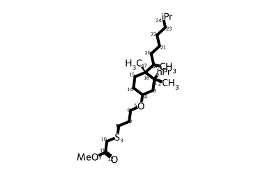 CCCC1(C)CC(OCCCSCC(=O)OC)CC[C@]1(C)C(C)CCCCC(C)C